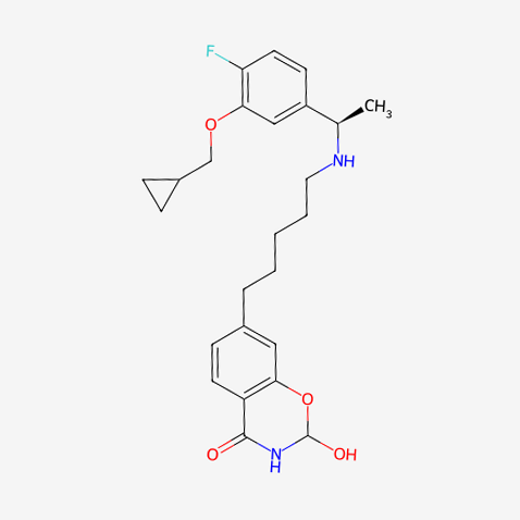 C[C@@H](NCCCCCc1ccc2c(c1)OC(O)NC2=O)c1ccc(F)c(OCC2CC2)c1